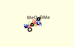 COc1ccc(CN(c2ccncn2)S(=O)(=O)c2cc(F)c(O[C@H]3CCCCC[C@@H]3c3ccnn3C)cc2F)c(OC)c1